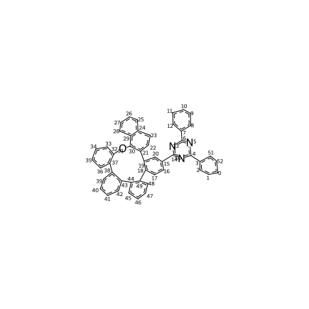 c1ccc(-c2nc(-c3ccccc3)nc(-c3ccc4c(c3)-c3ccc5ccccc5c3Oc3ccccc3-c3ccccc3-c3ccccc3-4)n2)cc1